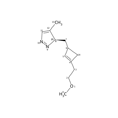 COCCC1=CC(C[C@H]2N=NC=C2C)C1